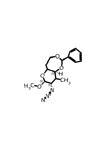 CO[C@H]1OC2CCOC(c3ccccc3)O[C@H]2C(C)[C@@H]1N=[N+]=[N-]